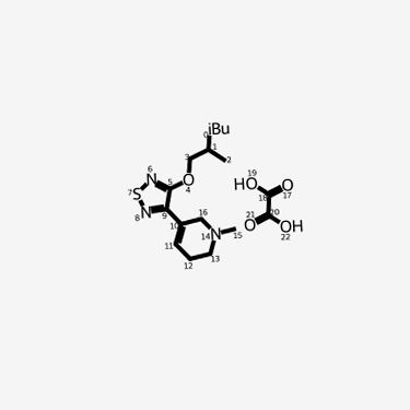 CCC(C)C(C)COc1nsnc1C1=CCCN(C)C1.O=C(O)C(=O)O